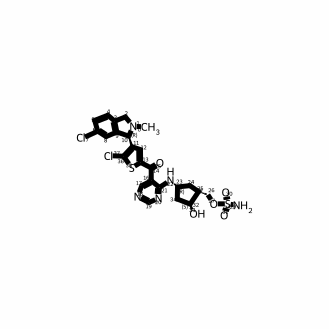 CN1Cc2ccc(Cl)cc2[C@@H]1c1cc(C(=O)c2cncnc2N[C@@H]2C[C@H](COS(N)(=O)=O)[C@@H](O)C2)sc1Cl